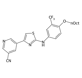 CCCCCCCCOc1ccc(Nc2nc(-c3cncc(C#N)c3)cs2)cc1C(F)(F)F